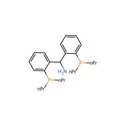 CCCP(CCC)c1ccccc1C(N)c1ccccc1P(CCC)CCC